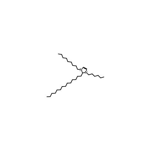 CCCCCCCCCCCCCCC1N(CCCCCC)C=CN1CCCCCCCCC